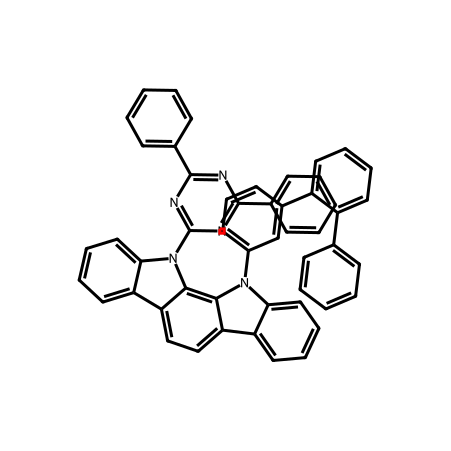 c1ccc(-c2nc(-c3ccccc3)nc(-n3c4ccccc4c4ccc5c6ccccc6n(-c6cccc(-c7ccccc7-c7ccccc7)c6)c5c43)n2)cc1